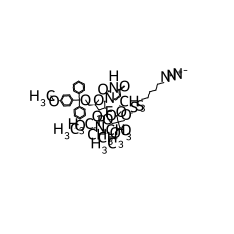 CCOC(=O)C(COCSSCCCCCCN=[N+]=[N-])(COP(O[C@H]1[C@@H](F)[C@H](n2ccc(=O)[nH]c2=O)O[C@@H]1COC(c1ccccc1)(c1ccc(OC)cc1)c1ccc(OC)cc1)N(C(C)C)C(C)C)C(=O)OCC